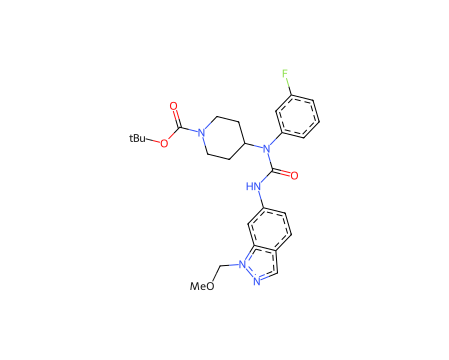 COCn1ncc2ccc(NC(=O)N(c3cccc(F)c3)C3CCN(C(=O)OC(C)(C)C)CC3)cc21